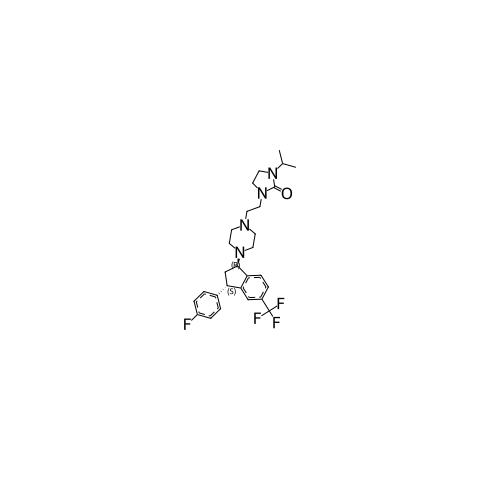 CC(C)N1CCN(CCN2CCN([C@@H]3C[C@@H](c4ccc(F)cc4)c4cc(C(F)(F)F)ccc43)CC2)C1=O